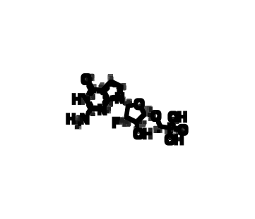 Nc1nc2c(ccn2[C@@H]2O[C@H](OCP(=O)(O)O)C(O)[C@@H]2F)c(=O)[nH]1